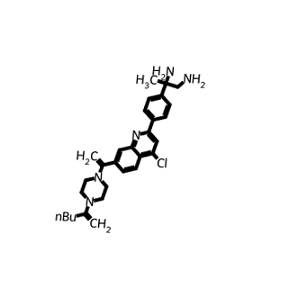 C=C(CCCC)N1CCN(C(=C)c2ccc3c(Cl)cc(-c4ccc(C(C)(N)CN)cc4)nc3c2)CC1